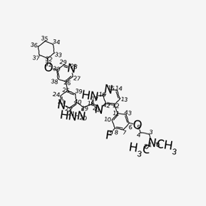 CN(C)CCOc1cc(F)cc(-c2ccnc3[nH]c(-c4n[nH]c5ncc(-c6cncc(OC7CCCCC7)c6)cc45)nc23)c1